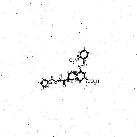 O=C(O)c1cc(SSc2ccccc2[N+](=O)[O-])c2ncc(C(=O)NCCc3nccs3)cc2c1